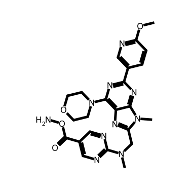 COc1ccc(-c2nc(N3CCOCC3)c3nc(CN(C)c4ncc(C(=O)ON)cn4)n(C)c3n2)cn1